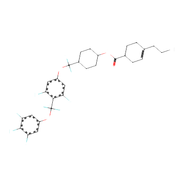 CCCC1=CCC(C(=O)OC2CCC(C(F)(F)Oc3cc(F)c(C(F)(F)Oc4cc(F)c(F)c(F)c4)c(F)c3)CC2)CC1